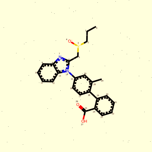 CCC[S+]([O-])Cc1nc2ccccc2n1-c1ccc(-c2ccccc2C(=O)O)c(C)c1